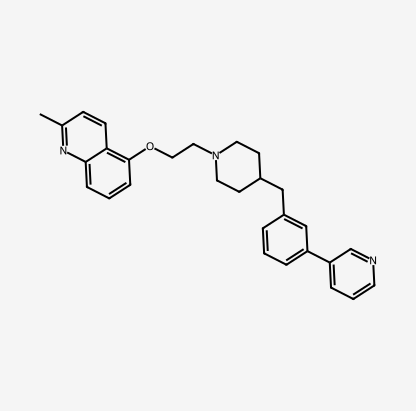 Cc1ccc2c(OCCN3CCC(Cc4cccc(-c5cccnc5)c4)CC3)cccc2n1